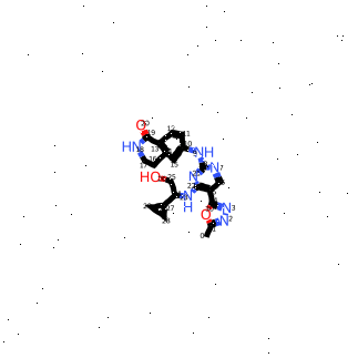 Cc1nnc(-c2cnc(Nc3ccc4c(c3)CCNC4=O)nc2NC(CO)C2CC2)o1